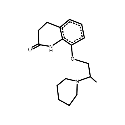 CC(COc1cccc2c1NC(=O)CC2)N1CCCCC1